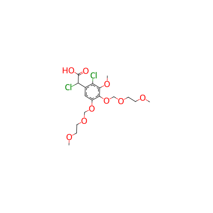 COCCOCOc1cc(C(Cl)C(=O)O)c(Cl)c(OC)c1OCOCCOC